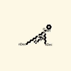 CCCCCCCCCCCCCCCCCCOCC(CN(CCCCCCCCCCCCCCCC)C(=O)Nc1ccccc1)OP(=O)([O-])OCC[N+](C)(C)C